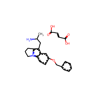 CC(N)Cc1c2n(c3ccc(OCc4ccccc4)cc13)CCC2.O=C(O)/C=C/C(=O)O